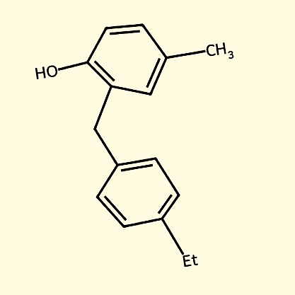 CCc1ccc(Cc2cc(C)ccc2O)cc1